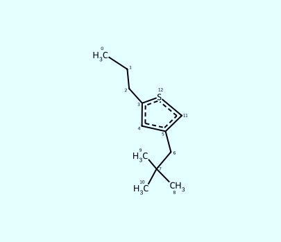 CCCc1cc(CC(C)(C)C)cs1